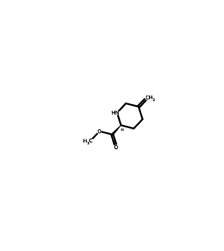 C=C1CC[C@@H](C(=O)OC)NC1